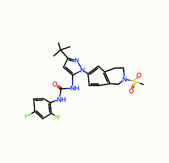 CC(C)(C)c1cc(NC(=O)Nc2ccc(F)cc2F)n(-c2ccc3c(c2)CCN(S(C)(=O)=O)C3)n1